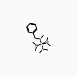 CN(C)P(N(C)C)(N(C)Cc1ccccc1)=[N+](C)C